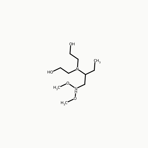 CCC(C[SiH](OC)OC)N(CCO)CCO